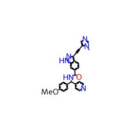 COc1ccc(C(NC(=O)c2ccc3c(C#Cc4cncn4C)n[nH]c3c2)c2ccncc2)cc1